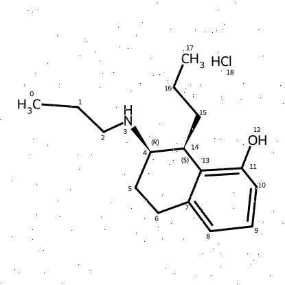 CCCN[C@@H]1CCc2cccc(O)c2[C@@H]1CCC.Cl